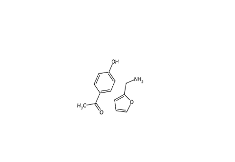 CC(=O)c1ccc(O)cc1.NCc1ccco1